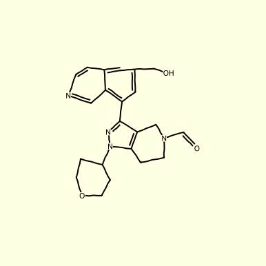 O=CN1CCc2c(c(-c3cc(CO)cc4ccncc34)nn2C2CCOCC2)C1